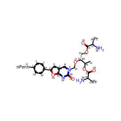 CCCCCc1ccc(-c2cc3cn(CO[C@H](COC(=O)C(N)C(C)C)C(C)OC(=O)C(N)C(C)C)c(=O)nc3o2)cc1